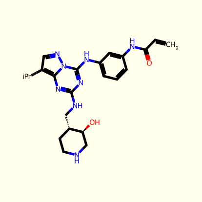 C=CC(=O)Nc1cccc(Nc2nc(NC[C@H]3CCNC[C@@H]3O)nc3c(C(C)C)cnn23)c1